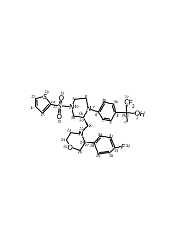 C[C@@](O)(c1ccc(N2CCN(S(=O)(=O)c3cccs3)C[C@@H]2CN2CCOC[C@@H]2c2ccc(F)cc2)cc1)C(F)(F)F